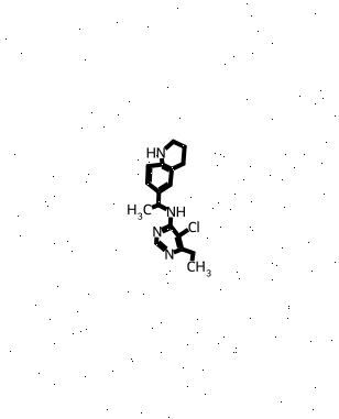 CCc1ncnc(NC(C)c2ccc3c(c2)CCCN3)c1Cl